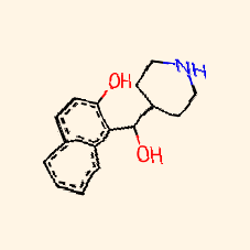 Oc1ccc2ccccc2c1C(O)C1CCNCC1